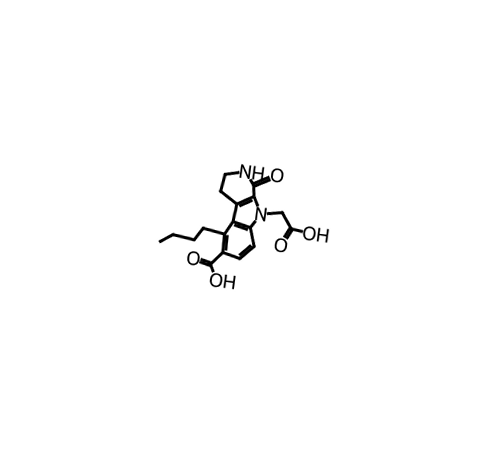 CCCCc1c(C(=O)O)ccc2c1c1c(n2CC(=O)O)C(=O)NCC1